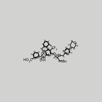 Cc1cccc(CC(C)C)c1-c1nc(NS(=O)(=O)c2cccc(C(=O)O)c2)nc(OCC(CC(C)(C)C)NCc2ncc(N3CCOCC3)cn2)c1C(F)(F)F